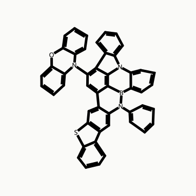 c1ccc(N2B3c4ccccc4-n4c5ccccc5c5c(N6c7ccccc7Oc7ccccc76)cc(c3c54)-c3cc4sc5ccccc5c4cc32)cc1